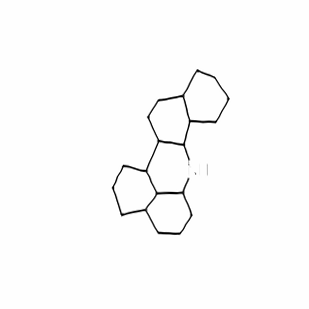 C1CCC2C(C1)CCC1C3CCCC4CCCC(NC21)C43